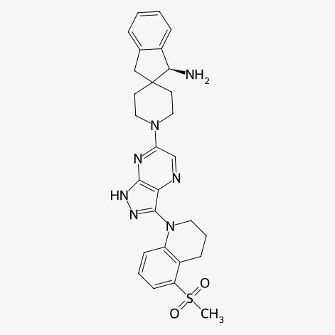 CS(=O)(=O)c1cccc2c1CCCN2c1n[nH]c2nc(N3CCC4(CC3)Cc3ccccc3[C@H]4N)cnc12